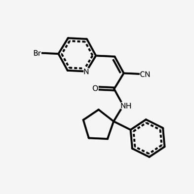 N#CC(=Cc1ccc(Br)cn1)C(=O)NC1(c2ccccc2)CCCC1